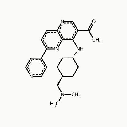 CC(=O)c1cnc2ccc(-c3ccncc3)nc2c1N[C@H]1CC[C@H](CN(C)C)CC1